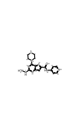 NNc1nc(N2CCOCC2)c2sc(C(=O)Nc3ccncc3)cc2n1